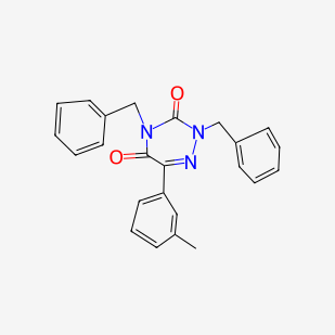 Cc1cccc(-c2nn(Cc3ccccc3)c(=O)n(Cc3ccccc3)c2=O)c1